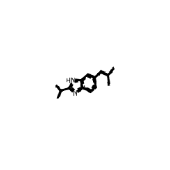 CC(C)Cc1ccc2nc(C(C)C)[nH]c2c1